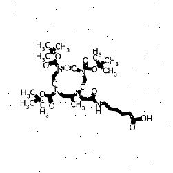 CC1CN(C(=O)OC(C)(C)C)CCN(C(=O)OC(C)(C)C)CCN(C(=O)OC(C)(C)C)CCN1CC(=O)NCCCCCC(=O)O